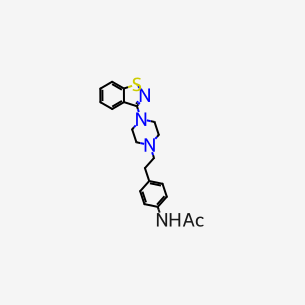 CC(=O)Nc1ccc(CCN2CCN(c3nsc4ccccc34)CC2)cc1